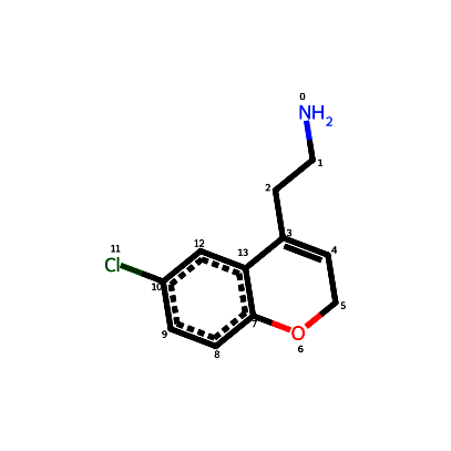 NCCC1=CCOc2ccc(Cl)cc21